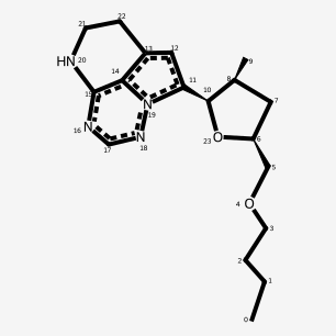 CCCCOC[C@@H]1C[C@H](C)[C@H](c2cc3c4c(ncnn24)NCC3)O1